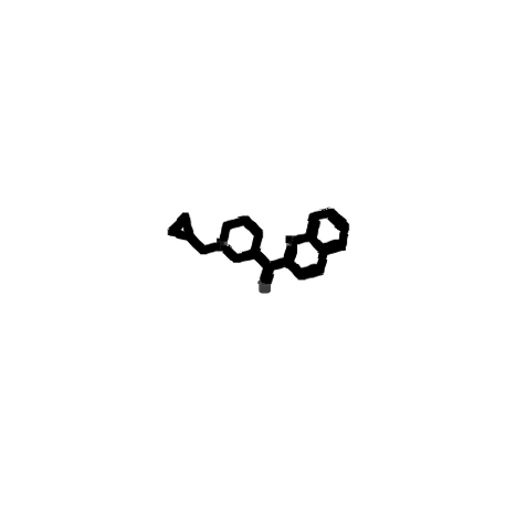 O=C(c1ccc2ccccc2n1)C1CCCN(CC2CC2)C1